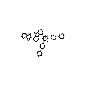 c1ccc(-c2ccc(-c3nc(-c4ccc(-c5ccccc5)cc4)nc(-c4cccc5sc6c(-c7nc8ccccc8o7)cccc6c45)n3)cc2)cc1